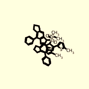 Cc1ccc(C2=Cc3c(cc4c(c3-c3ccccc3)CCC4)[CH]2[Zr]([Cl])([Cl])([CH]2C(c3ccc(C)s3)=Cc3c2cc2c(c3-c3ccccc3)CCC2)[SiH](C)C)s1